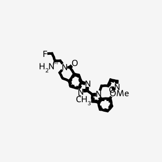 COc1cccc2cc(-c3nc4cc5c(cc4n3C)CCN(C[C@H](N)CF)C5=O)n(Cc3ccno3)c12